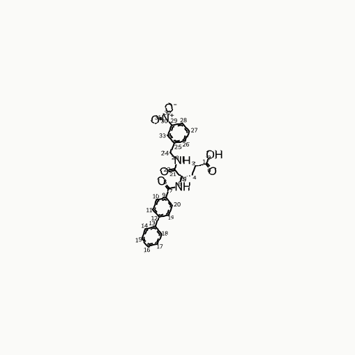 O=C(O)CC[C@H](NC(=O)c1ccc(-c2ccccc2)cc1)C(=O)NCc1cccc([N+](=O)[O-])c1